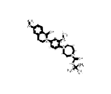 COc1ccc2c(c1)CCN(c1ccc(N3CCCN(C(=O)OC(C)(C)C)CC3)c(OC)c1)C2=O